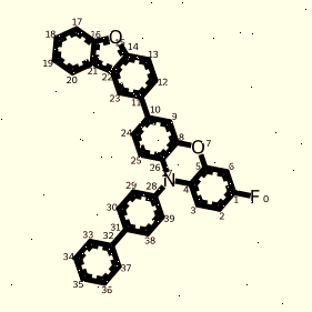 Fc1ccc2c(c1)Oc1cc(-c3ccc4oc5ccccc5c4c3)ccc1N2c1ccc(-c2ccccc2)cc1